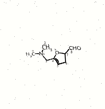 CN(C)CC1=CCC(C=O)O1